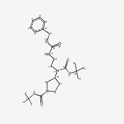 CC(C)(C)OC(=O)N1CCC(N(CCNC(=O)OCc2ccccc2)C(=O)OC(C)(C)C)C1